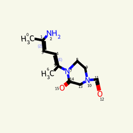 C/C(N)=C/C=C(\C)N1CCN(C=O)CC1=O